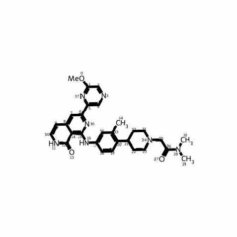 COc1cncc(-c2cc3cc[nH]c(=O)c3c(Nc3ccc(C4CCN(CC(=O)N(C)C)CC4)c(C)c3)n2)n1